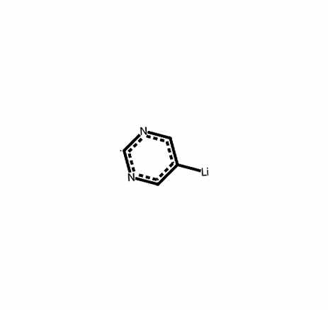 [Li][c]1cn[c]nc1